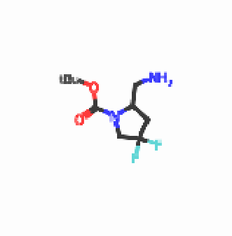 CC(C)(C)OC(=O)N1CC(F)(F)CC1CN